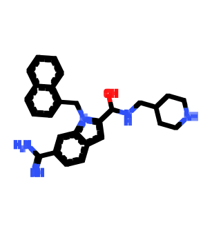 N=C(N)c1ccc2cc(C(O)NCC3CCNCC3)n(Cc3cccc4ccccc34)c2c1